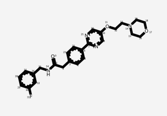 O=C(Cc1ccc(-c2ncc(OCCN3CCOCC3)cn2)cc1)NCc1cccc(F)c1